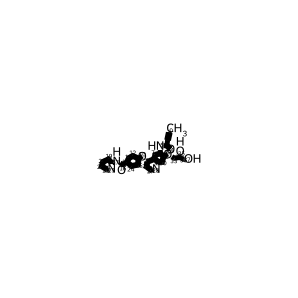 CC#CC(=O)Nc1cc2c(Oc3ccc(C(=O)Nc4ccccn4)cc3)ccnc2cc1OC[C@@H](O)CO